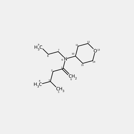 C=C(CC(C)C)N(CCC)C1CCOCC1